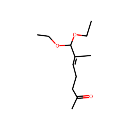 CCOC(OCC)C(C)=CCCC(C)=O